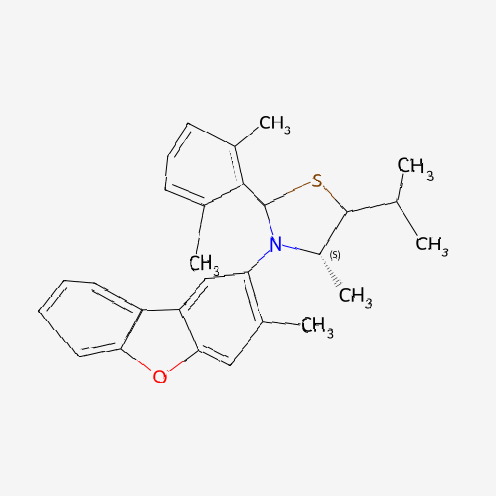 Cc1cc2oc3ccccc3c2cc1N1C(c2c(C)cccc2C)SC(C(C)C)[C@@H]1C